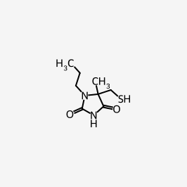 CCCN1C(=O)NC(=O)C1(C)CS